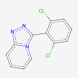 Clc1cccc(Cl)c1-c1nnc2cc[c]cn12